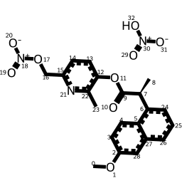 COc1ccc2c([C@H](C)C(=O)Oc3ccc(CO[N+](=O)[O-])nc3C)cccc2c1.O=[N+]([O-])O